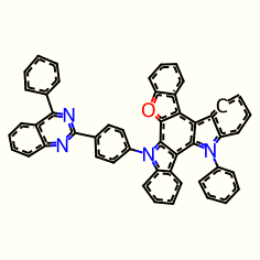 c1ccc(-c2nc(-c3ccc(-n4c5ccccc5c5c4c4oc6ccccc6c4c4c6ccccc6n(-c6ccccc6)c45)cc3)nc3ccccc23)cc1